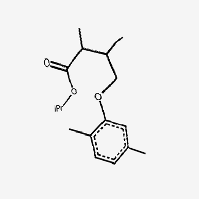 Cc1ccc(C)c(OCC(C)C(C)C(=O)OC(C)C)c1